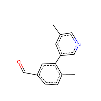 Cc1cncc(-c2cc(C=O)ccc2C)c1